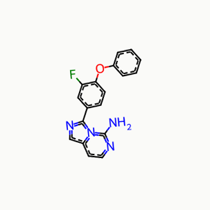 Nc1nccc2cnc(-c3ccc(Oc4ccccc4)c(F)c3)n12